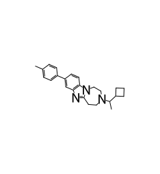 Cc1ccc(-c2ccc3c(c2)nc2n3CCN(C(C)C3CCC3)CC2)cc1